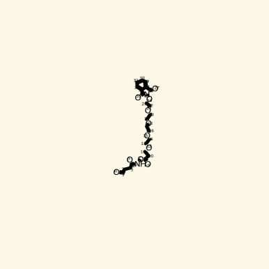 O=CCCC(=O)NOC(=O)CCOCCOCCOCCOCCON1C(=O)c2ccccc2C1=O